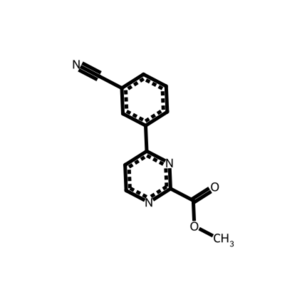 COC(=O)c1nccc(-c2cccc(C#N)c2)n1